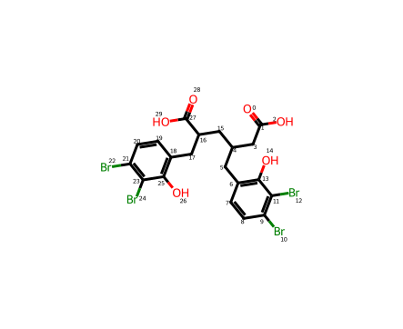 O=C(O)CC(Cc1ccc(Br)c(Br)c1O)CC(Cc1ccc(Br)c(Br)c1O)C(=O)O